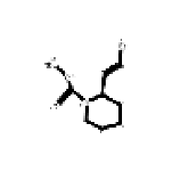 CCC=CC1CCCCN1C(=O)OC(C)(C)C